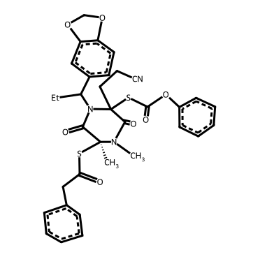 CCC(c1ccc2c(c1)OCO2)N1C(=O)[C@](C)(SC(=O)Cc2ccccc2)N(C)C(=O)C1(CCC#N)SC(=O)Oc1ccccc1